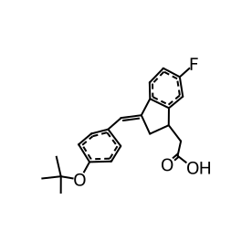 CC(C)(C)Oc1ccc(/C=C2\CC(CC(=O)O)c3cc(F)ccc32)cc1